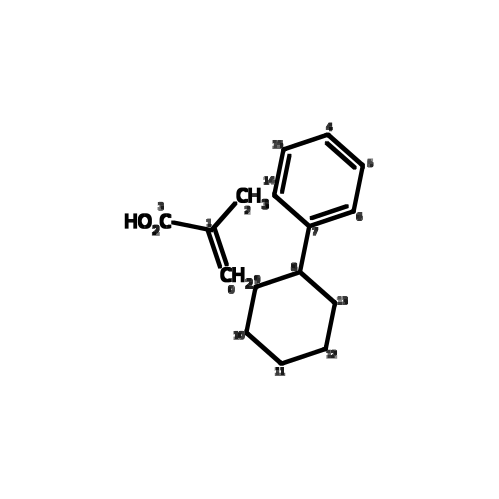 C=C(C)C(=O)O.c1ccc(C2CCCCC2)cc1